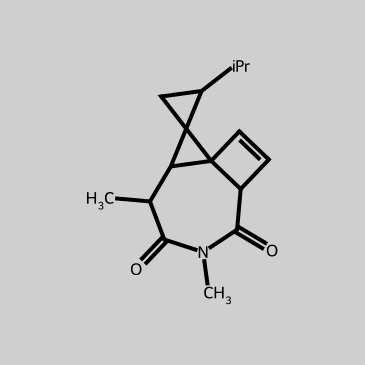 CC(C)C1CC12C1C(C)C(=O)N(C)C(=O)C3C=CC312